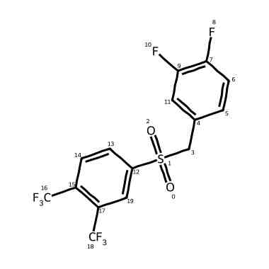 O=S(=O)(Cc1ccc(F)c(F)c1)c1ccc(C(F)(F)F)c(C(F)(F)F)c1